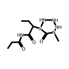 CCC(=O)NC(=O)C(CC)n1[nH][nH][nH]n(C)c1=O